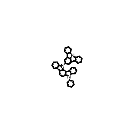 c1ccc(-n2c3ccccc3c3c2ccc2c4ccccc4n(-c4cc5c6ccccc6n6c7ccccc7c(c4)c56)c23)cc1